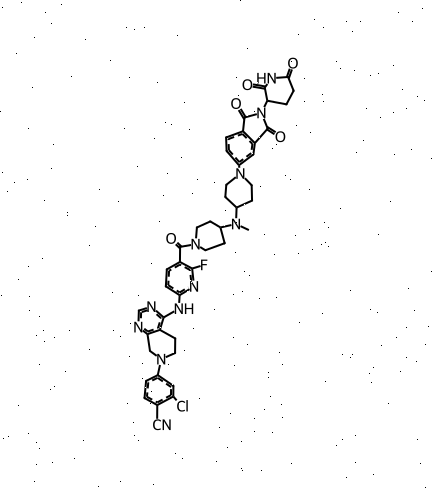 CN(C1CCN(C(=O)c2ccc(Nc3ncnc4c3CCN(c3ccc(C#N)c(Cl)c3)C4)nc2F)CC1)C1CCN(c2ccc3c(c2)C(=O)N(C2CCC(=O)NC2=O)C3=O)CC1